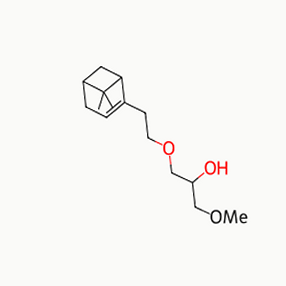 COCC(O)COCCC1=CCC2CC1C2(C)C